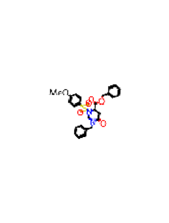 COc1ccc(S(=O)(=O)N2CN(Cc3ccccc3)C(=O)C[C@@H]2C(=O)OCc2ccccc2)cc1